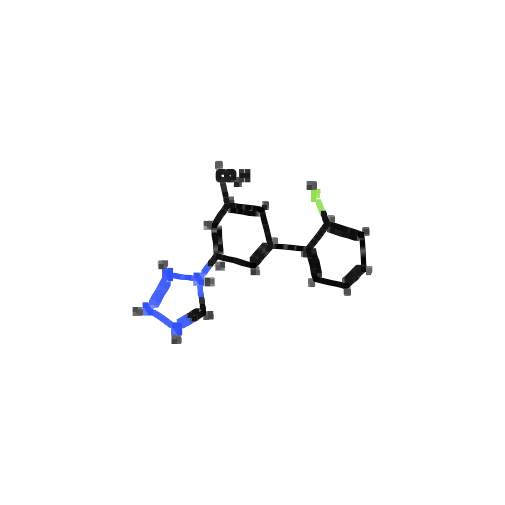 O=C(O)c1cc(-c2ccccc2F)cc(-n2cnnn2)c1